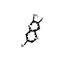 Nc1nc2cc(Br)cnc2cc1F